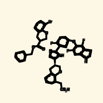 O=C(O)Cc1cccc2c1OC[C@H](c1cnc(-c3cc(Oc4c(F)cc5[nH]ccc5c4F)ccc3F)[nH]1)C2.O=C(OCc1ccccc1)C1COc2c(Br)cccc2C1